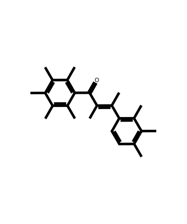 C/C(C(=O)c1c(C)c(C)c(C)c(C)c1C)=C(/C)c1ccc(C)c(C)c1C